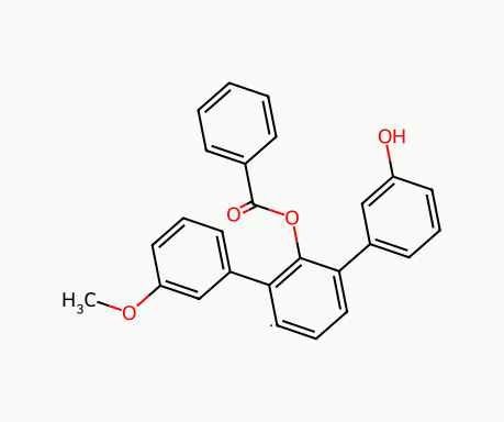 COc1cccc(-c2[c]ccc(-c3cccc(O)c3)c2OC(=O)c2ccccc2)c1